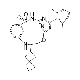 Cc1cccc(C)c1-c1cc2nc(n1)NS(=O)(=O)c1cccc(c1)NC(C1CC3(CCC3)C1)CO2